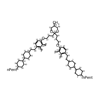 CCCCCC1CCC(C2CCC(CCc3ccc(OCCCC4(CCCOc5ccc(CCC6CCC(C7CCC(CCCCC)CC7)CC6)c(F)c5F)OCC(C)CO4)c(F)c3F)CC2)CC1